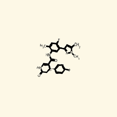 Cc1cc(F)c(-c2cc(C)n(C)n2)cc1NC(=O)C1=CNC(=O)C[C@H]1c1ccc(F)cc1